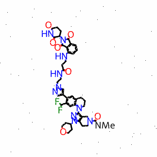 CNC(=O)N1CCc2c(c(N3CCCc4cc(-c5cnn(CCNC(=O)CCNc6cccc7c6C(=O)N(C6CCC(=O)NC6=O)C7=O)c5)c(C(F)F)cc43)nn2C2CCOCC2)C1